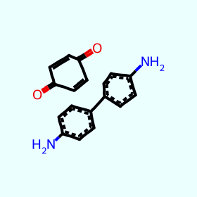 Nc1ccc(-c2ccc(N)cc2)cc1.O=C1C=CC(=O)C=C1